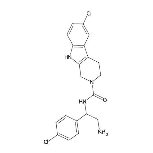 NCC(NC(=O)N1CCc2c([nH]c3ccc(Cl)cc23)C1)c1ccc(Cl)cc1